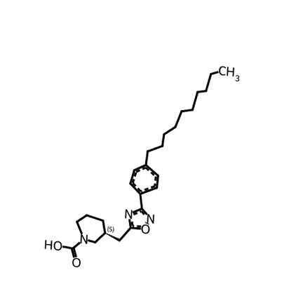 CCCCCCCCCCc1ccc(-c2noc(C[C@@H]3CCCN(C(=O)O)C3)n2)cc1